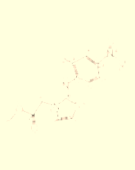 COC(=O)Cn1ccsc1=Nc1ccc([N+](=O)[O-])cc1C